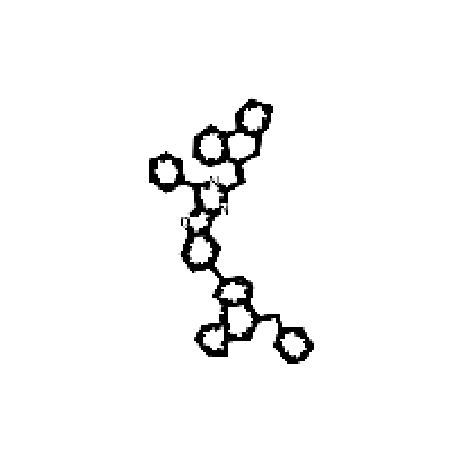 C(=C1\Cc2ccccc2-c2ccccc21)/c1nc(-c2ccccc2)c2oc3ccc(-c4ccc5c(Cc6ccccc6)cc6ccccc6c5c4)cc3c2n1